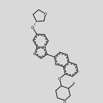 FC1CNCCC1Oc1cccc2ccc(-c3cnc4cc(O[C@@H]5CCOC5)ccn34)nc12